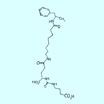 CC(Cc1ccccc1)NC(=O)CCCCCCCNC(=O)CCC(NC(=O)NCCCC(=O)O)C(=O)O